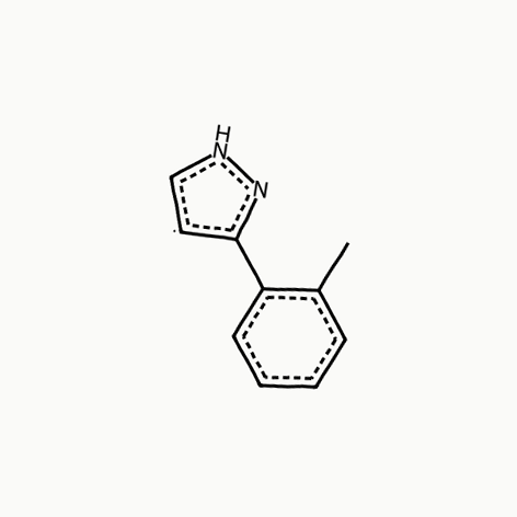 Cc1ccccc1-c1[c]c[nH]n1